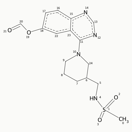 CS(=O)(=O)NCC1CCCN(c2ncnc3ccc(OC=O)cc23)C1